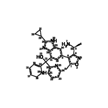 Cc1onc([C@H](C)N)c1-c1cc(C(O)(C2=CC=CCN2)c2ccccn2)c2nc(C3CC3)[nH]c2c1